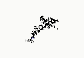 COC(=O)C1=C(CN2CCN3C(=O)N(c4nc(/C=C/C(=O)O)cs4)CC3C2)NC(c2nccs2)=NC1c1ccc(F)cc1Cl